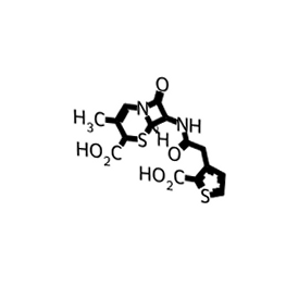 CC1=CN2C(=O)C(NC(=O)Cc3ccsc3C(=O)O)[C@H]2SC1C(=O)O